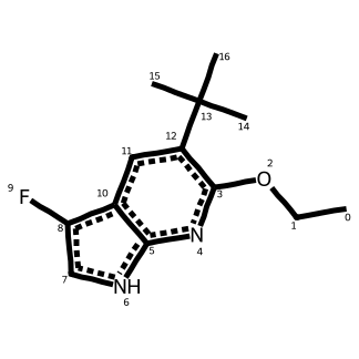 CCOc1nc2[nH]cc(F)c2cc1C(C)(C)C